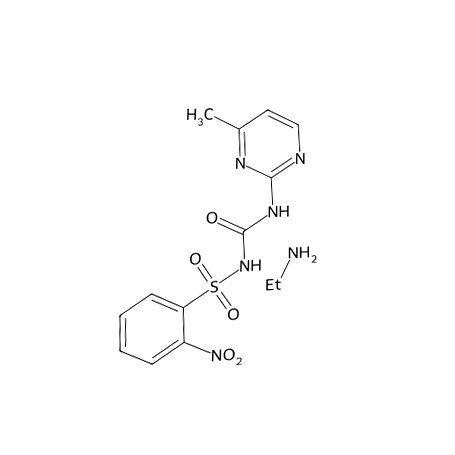 CCN.Cc1ccnc(NC(=O)NS(=O)(=O)c2ccccc2[N+](=O)[O-])n1